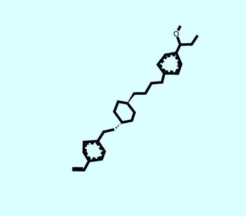 C=Cc1ccc(CC[C@H]2CC[C@H](CCCCc3ccc(C(CC)OC)cc3)CC2)cc1